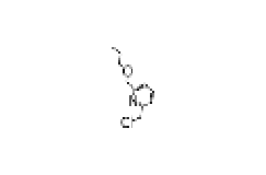 CCCOCc1cccc(CCl)n1